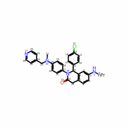 CCCNc1ccc2c(c1)C(c1ccc(Cl)cc1)N(c1ccc(N(C)Cc3ccncc3)cc1)C(=O)C2